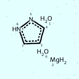 O.O.[MgH2].c1cn[nH]c1